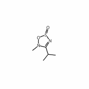 CC(C)C1=NS(=O)ON1C